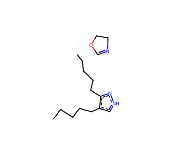 C1=NCCO1.CCCCCc1c[nH]nc1CCCCC